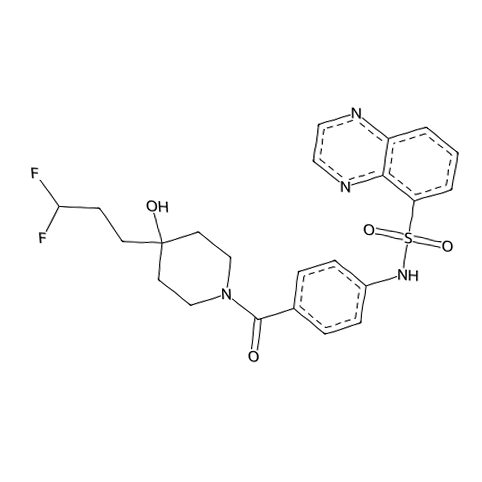 O=C(c1ccc(NS(=O)(=O)c2cccc3nccnc23)cc1)N1CCC(O)(CCC(F)F)CC1